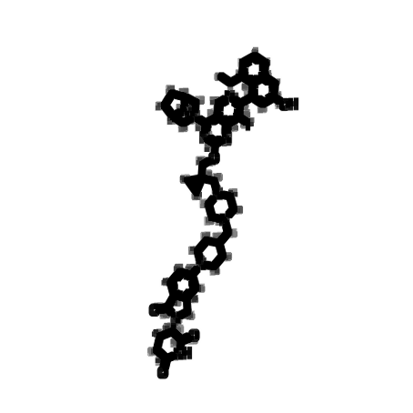 CCc1cccc2cc(O)cc(-c3ncc4c(N5CC6CCC(C5)N6)nc(OCC5(CN6CCN(CC7CCN(c8ccc9c(c8)CN([C@H]8CCC(=O)NC8=O)C9=O)CC7)CC6)CC5)nc4c3F)c12